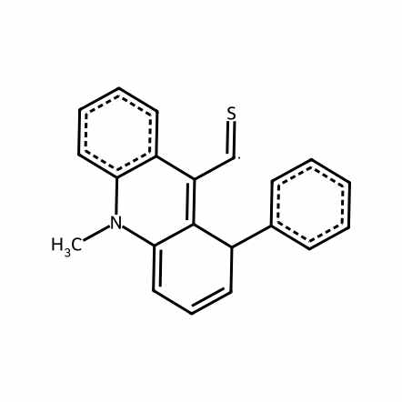 CN1C2=CC=CC(c3ccccc3)C2=C([C]=S)c2ccccc21